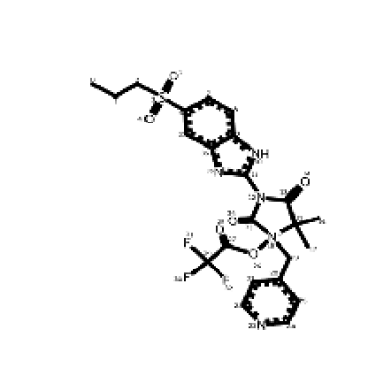 CCCS(=O)(=O)c1ccc2[nH]c(N3C(=O)C(C)(C)[N+](Cc4ccncc4)(OC(=O)C(F)(F)F)C3=O)nc2c1